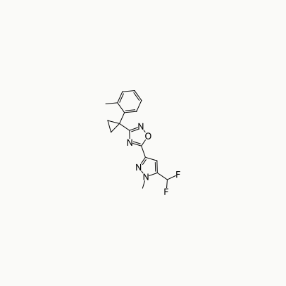 Cc1ccccc1C1(c2noc(-c3cc(C(F)F)n(C)n3)n2)CC1